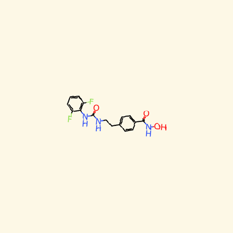 O=C(NCCc1ccc(C(=O)NO)cc1)Nc1c(F)cccc1F